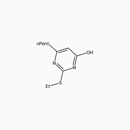 CCCCCc1cc(O)nc(SCC)n1